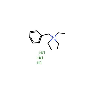 CC[N+](CC)(CC)Cc1ccccc1.Cl.Cl.Cl